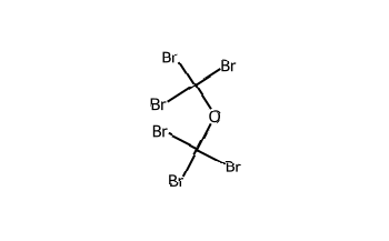 BrC(Br)(Br)OC(Br)(Br)Br